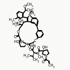 C=CC(=O)N1CC[C@](O)(C(=O)N(C)[C@H](C(=O)N[C@H]2Cc3cccc(c3)-c3ccc4c(c3)c(c(-c3c([C@H](C)OC)ccc(C)c3C)n4CC)CC(C)(C)COC(=O)[C@@]3(O)CCCN(N3)C2=O)C(C)C)C1